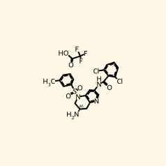 Cc1cccc(S(=O)(=O)N2C[C@H](N)Cc3ncc(NC(=O)c4c(Cl)cccc4Cl)cc32)c1.O=C(O)C(F)(F)F